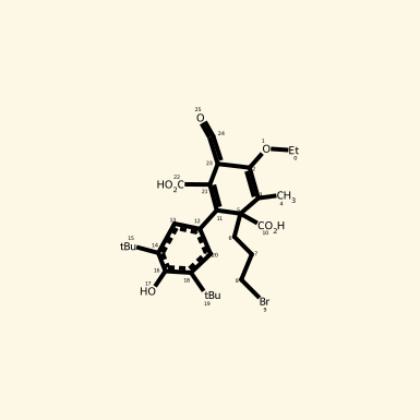 CCOC1=C(C)C(CCCBr)(C(=O)O)C(c2cc(C(C)(C)C)c(O)c(C(C)(C)C)c2)=C(C(=O)O)C1=C=O